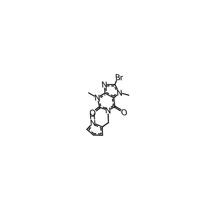 Cn1c(Br)nc2c1c(=O)n(Cc1ccc[nH]1)c(=O)n2C